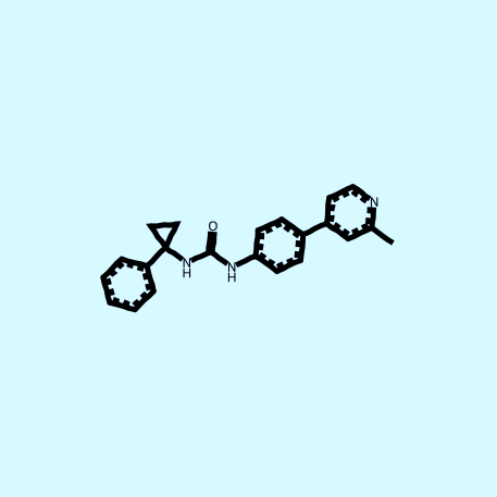 Cc1cc(-c2ccc(NC(=O)NC3(c4ccccc4)CC3)cc2)ccn1